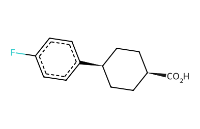 O=C(O)[C@H]1CC[C@@H](c2ccc(F)cc2)CC1